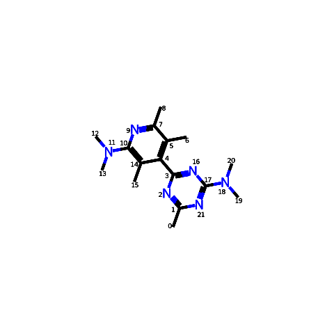 Cc1nc(-c2c(C)c(C)nc(N(C)C)c2C)nc(N(C)C)n1